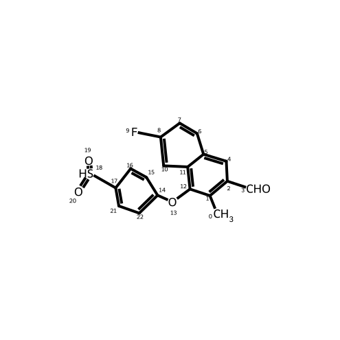 Cc1c(C=O)cc2ccc(F)cc2c1Oc1ccc([SH](=O)=O)cc1